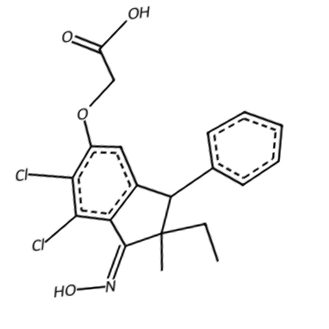 CCC1(C)C(=NO)c2c(cc(OCC(=O)O)c(Cl)c2Cl)C1c1ccccc1